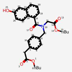 CCCCOC(=O)Cc1ccc(CN(CC(=O)OCCCC)C(=O)c2cccc3cc(O)ccc23)cc1